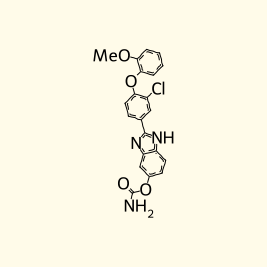 COc1ccccc1Oc1ccc(-c2nc3cc(OC(N)=O)ccc3[nH]2)cc1Cl